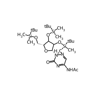 CC(=O)Nc1cnn([C@@H]2O[C@H](CO[Si](C)(C)C(C)(C)C)C(O[Si](C)(C)C(C)(C)C)C2O[Si](C)(C)C(C)(C)C)c(=O)n1